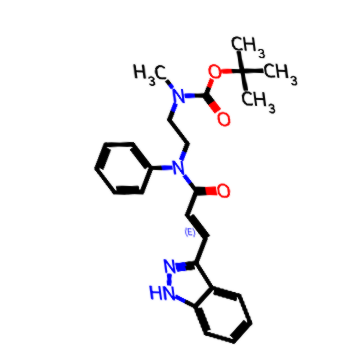 CN(CCN(C(=O)/C=C/c1n[nH]c2ccccc12)c1ccccc1)C(=O)OC(C)(C)C